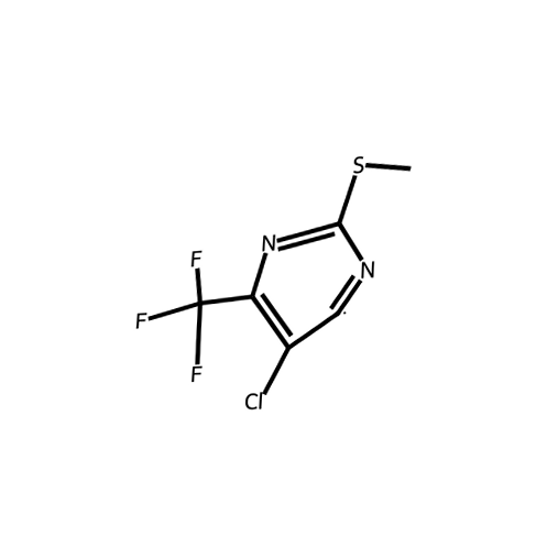 CSc1n[c]c(Cl)c(C(F)(F)F)n1